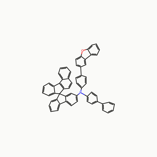 c1ccc(-c2ccc(N(c3ccc(-c4ccc5oc6ccccc6c5c4)cc3)c3ccc4c(c3)C3(c5ccccc5-4)c4ccccc4-c4c3ccc3ccccc43)cc2)cc1